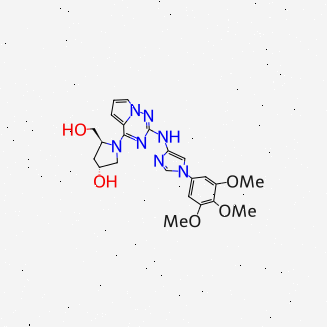 COc1cc(-n2cnc(Nc3nc(N4C[C@H](O)C[C@H]4CO)c4cccn4n3)c2)cc(OC)c1OC